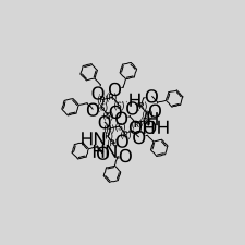 C[C@@H]1O[C@@H](O[C@@H]2[C@@H](NC(=O)c3ccccc3)[C@H](NC(=O)c3ccccc3)O[C@H](COCc3ccccc3)[C@H]2OC2O[C@@H]3COC(c4ccccc4)O[C@@H]3[C@H](O)[C@H]2O)[C@@H](OCc2ccccc2)[C@H](OCc2ccccc2)[C@@H]1OCc1ccccc1